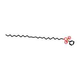 CCCCCCCCCCCCCCCCCCCCCCCCCCCCOS(=O)(=O)c1ccccc1